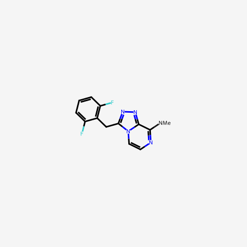 CNc1nccn2c(Cc3c(F)cccc3F)nnc12